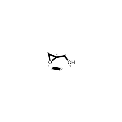 C=C.OCC1CO1